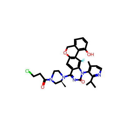 Cc1ccnc(C(C)C)c1-n1c(=O)nc(N2CCN(C(=O)CCCl)C[C@@H]2C)c2cc3c(c(F)c21)-c1c(O)cccc1CO3